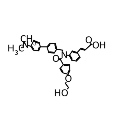 CN(C)c1ccc(-c2ccc(CN(C(=O)c3ccc(OCCO)cc3)c3cccc(C=CC(=O)O)c3)cc2)cc1